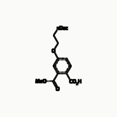 CCCCCCCCCCCCOc1ccc(C(=O)O)c(C(=O)OC)c1